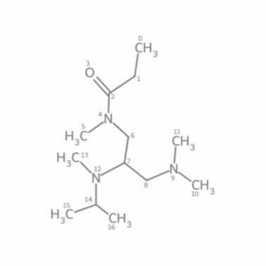 CCC(=O)N(C)CC(CN(C)C)N(C)C(C)C